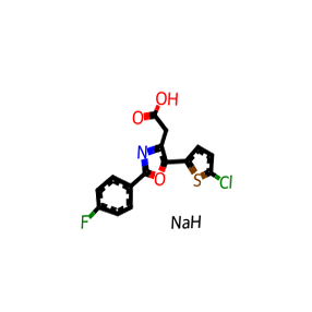 O=C(O)Cc1nc(-c2ccc(F)cc2)oc1-c1ccc(Cl)s1.[NaH]